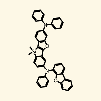 C[Si]1(C)c2ccc(N(c3ccccc3)c3cccc4c3oc3ccccc34)cc2-c2oc3cc(N(c4ccccc4)c4ccccc4)ccc3c21